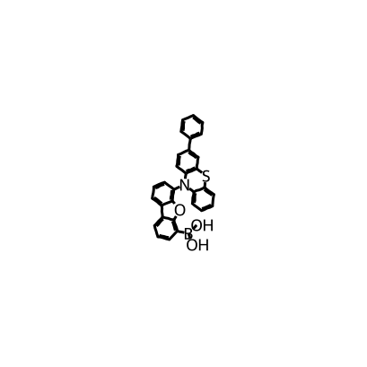 OB(O)c1cccc2c1oc1c(N3c4ccccc4Sc4cc(-c5ccccc5)ccc43)cccc12